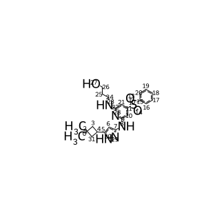 CC1(C)CC(c2cc(Nc3cc(S(=O)(=O)c4ccccc4)cc(NCCCO)n3)n[nH]2)C1